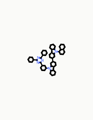 c1ccc(-c2nc(-c3ccccc3)nc(-c3cccc(-n4c5ccccc5c5ccc(-c6ccc7c8ccccc8n(-c8cccc9ccccc89)c7c6)cc54)c3)n2)cc1